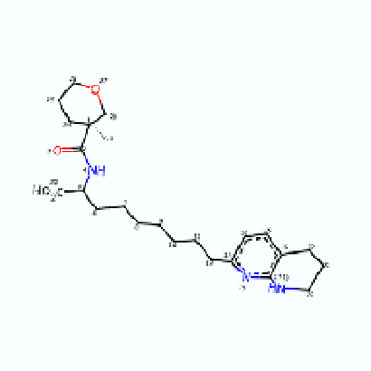 C[C@]1(C(=O)N[C@@H](CCCCCCCc2ccc3c(n2)NCCC3)C(=O)O)CCCOC1